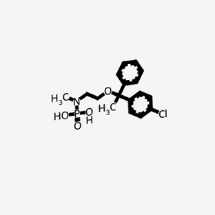 CN(CCOC(C)(c1ccccc1)c1ccc(Cl)cc1)P(=O)(O)O